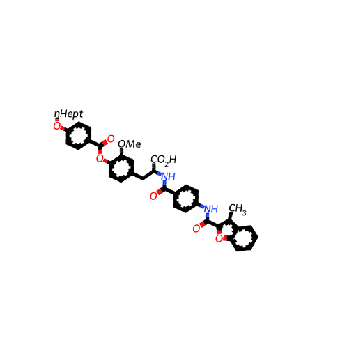 CCCCCCCOc1ccc(C(=O)Oc2ccc(CC(NC(=O)c3ccc(NC(=O)c4oc5ccccc5c4C)cc3)C(=O)O)cc2OC)cc1